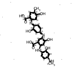 CNc1ccc(Nc2cc(O)c(N=C3C=CC(=Nc4cc(O)c(C)cc4C(=O)O)C(O)=C3)cc2C(=O)O)c(O)c1